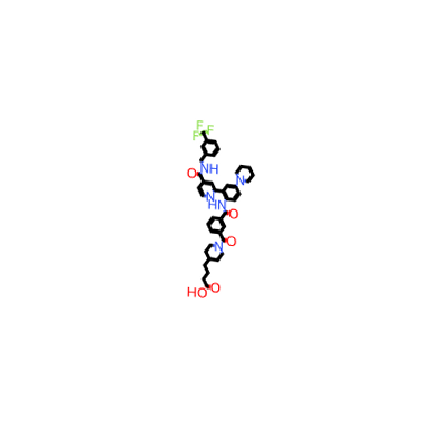 O=C(O)CCCC1CCN(C(=O)c2cccc(C(=O)Nc3ccc(N4CCCCC4)cc3-c3cc(C(=O)NCc4cccc(C(F)(F)F)c4)ccn3)c2)CC1